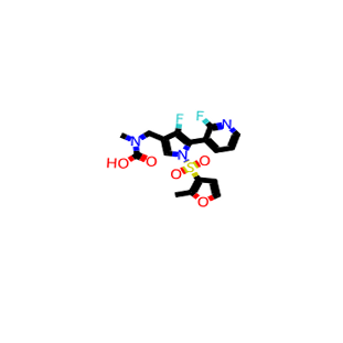 Cc1occc1S(=O)(=O)n1cc(CN(C)C(=O)O)c(F)c1-c1cccnc1F